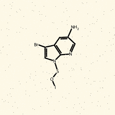 Nc1cnc2c(c1)c(Br)cn2SOI